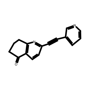 O=C1CCCc2nc(C#Cc3cccnc3)ccc21